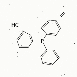 C=C.Cl.c1ccc(P(c2ccccc2)c2ccccc2)cc1